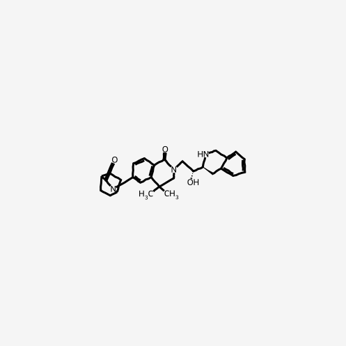 CC1(C)CN(C[C@@H](O)[C@@H]2Cc3ccccc3CN2)C(=O)c2ccc(N3C(=O)C4CCC3CC4)cc21